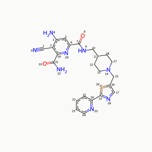 N#Cc1c(N)cc(C(=O)NCC2CCN(Cc3cnc(-c4ccccn4)s3)CC2)nc1C(N)=O